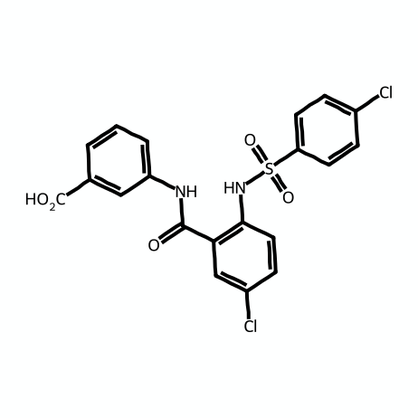 O=C(O)c1cccc(NC(=O)c2cc(Cl)ccc2NS(=O)(=O)c2ccc(Cl)cc2)c1